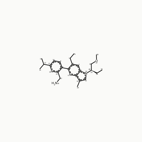 CCc1cc2c(nc1-c1ccc(C(C)C)nc1CN)c(C)cn2[C@H](CC)COC